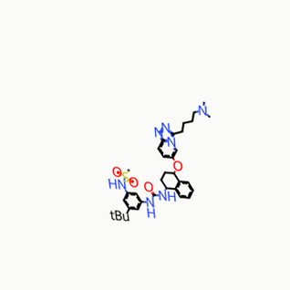 CN(C)CCCCc1nnc2ccc(O[C@@H]3CC[C@H](NC(=O)Nc4cc(NS(C)(=O)=O)cc(C(C)(C)C)c4)c4ccccc43)cn12